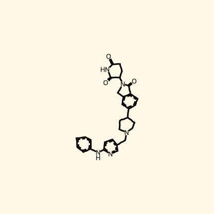 O=C1CCC(N2Cc3cc(C4CCN(Cc5ccc(Nc6ccccc6)nc5)CC4)ccc3C2=O)C(=O)N1